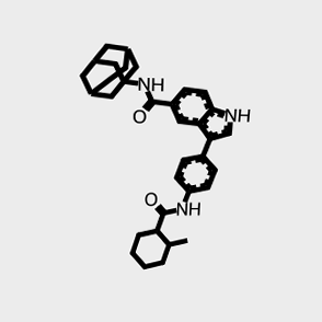 CC1CCCCC1C(=O)Nc1ccc(-c2c[nH]c3ccc(C(=O)NC45CC6CC(CC(C6)C4)C5)cc23)cc1